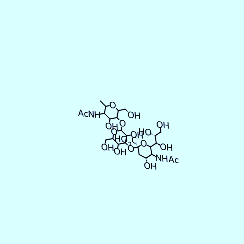 CC(=O)NC1C(C)OC(CO)C(OC2OC(CO)C(O)C(O[C@]3(C(=O)O)C[C@@H](O)C(NC(C)=O)C([C@H](O)[C@H](O)CO)O3)C2O)C1O